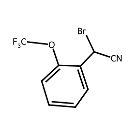 N#CC(Br)c1ccccc1OC(F)(F)F